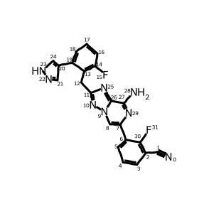 N#Cc1cccc(-c2cn3nc(Cc4c(F)cccc4-c4cn[nH]c4)nc3c(N)n2)c1F